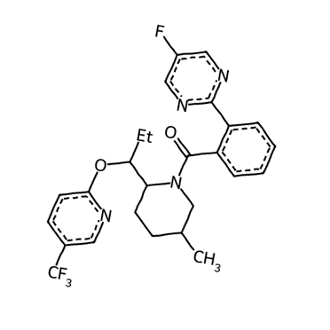 CCC(Oc1ccc(C(F)(F)F)cn1)C1CCC(C)CN1C(=O)c1ccccc1-c1ncc(F)cn1